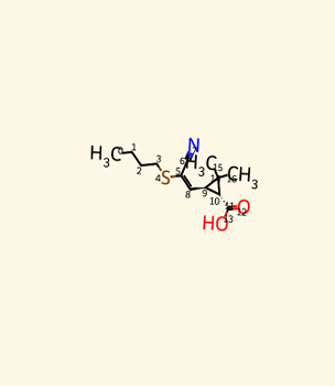 CCCCS/C(C#N)=C/[C@@H]1[C@@H](C(=O)O)C1(C)C